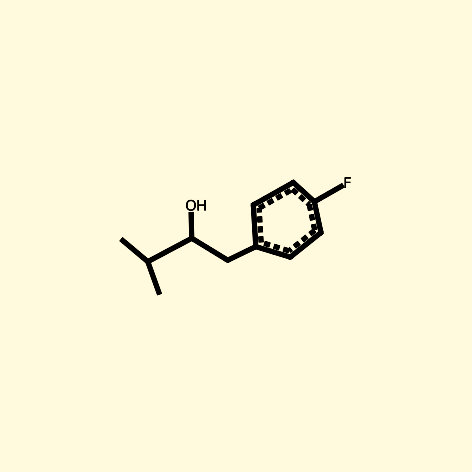 CC(C)C(O)Cc1ccc(F)cc1